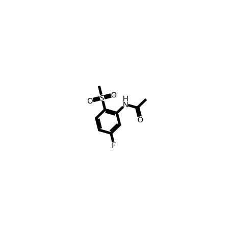 CC(=O)Nc1cc(F)ccc1S(C)(=O)=O